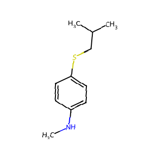 CNc1ccc(SCC(C)C)cc1